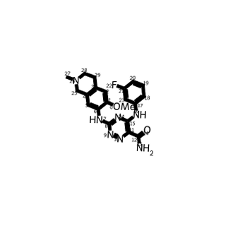 COc1cc2c(cc1Nc1nnc(C(N)=O)c(Nc3cccc(F)c3)n1)CN(C)CC2